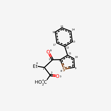 CCC(C(=O)C(=O)O)C(=O)c1sccc1-c1ccccc1